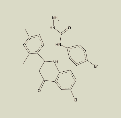 Cc1ccc(C2CC(=O)c3cc(Cl)ccc3N2)c(C)c1.NNC(=O)Nc1ccc(Br)cc1